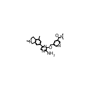 Cc1cc(-c2cnc(N)c(OCc3cncc(C(=O)N(C)C)c3)n2)cc2c1CCN(C)C2